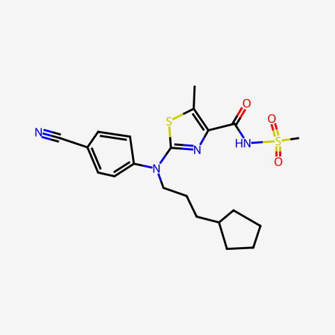 Cc1sc(N(CCCC2CCCC2)c2ccc(C#N)cc2)nc1C(=O)NS(C)(=O)=O